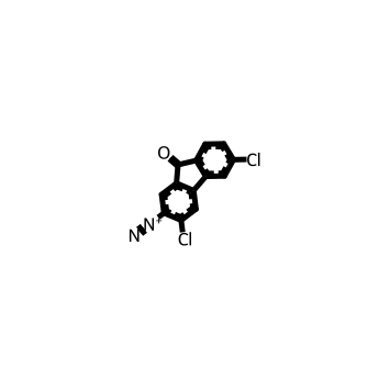 N#[N+]c1cc2c(cc1Cl)-c1cc(Cl)ccc1C2=O